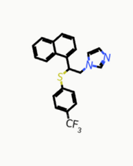 FC(F)(F)c1ccc(SC(Cn2ccnc2)c2cccc3ccccc23)cc1